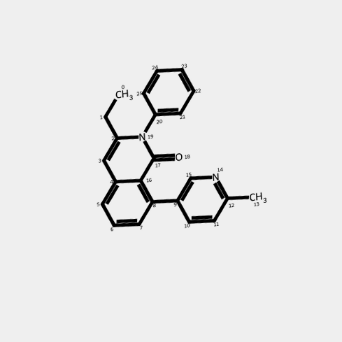 CCc1cc2cccc(-c3ccc(C)nc3)c2c(=O)n1-c1ccccc1